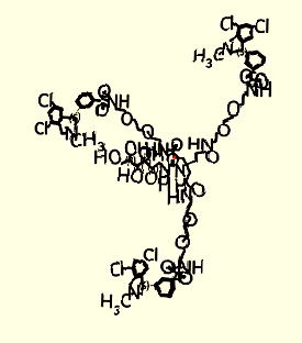 CN1Cc2c(Cl)cc(Cl)cc2[C@H](c2cccc(S(=O)(=O)NCCOCCOCCNC(=O)CCC(CCC(=O)NCCOCCOCCNS(=O)(=O)c3cccc([C@@H]4CN(C)Cc5c(Cl)cc(Cl)cc54)c3)(CCC(=O)NCCOCCOCCNS(=O)(=O)c3cccc([C@@H]4CN(C)Cc5c(Cl)cc(Cl)cc54)c3)NC(=O)NC[C@H](O)[C@@H](O)[C@H](O)[C@H](O)CO)c2)C1